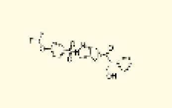 O=C([C@@H](CO)c1ccccc1)N1Cc2cn(S(=O)(=O)c3ccc(OC(F)F)cc3)nc2C1